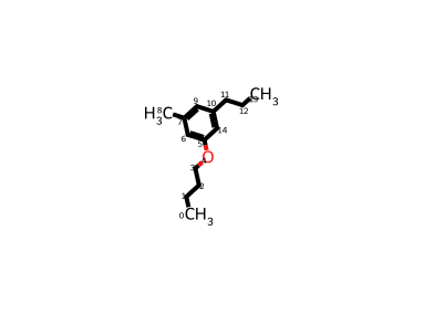 CCCCOc1cc(C)cc(CCC)c1